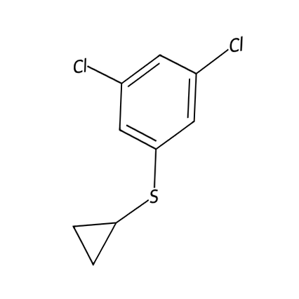 Clc1cc(Cl)cc(SC2CC2)c1